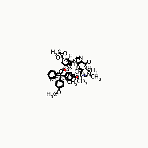 COc1ccc(C(OC[C@@]23CN(S(C)(=O)=O)[C@@H]([C@H](n4cnc5c(=O)[nH]c(/N=C\N(C)C)nc54)O2)[C@@H]3OP(OCCC#N)N(C(C)C)C(C)C)(c2ccccc2)c2ccc(OC)cc2)cc1